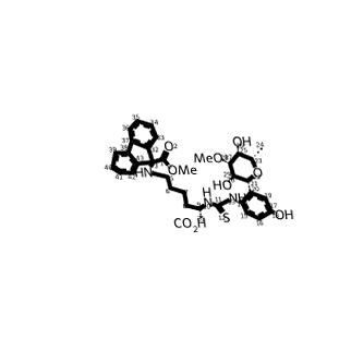 COC(=O)C1(NCCCC[C@H](NC(=S)Nc2ccc(O)cc2[C@H]2O[C@@H](C)[C@@H](O)[C@@H](OC)[C@@H]2O)C(=O)O)c2ccccc2-c2ccccc21